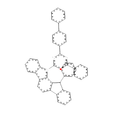 c1ccc(-c2ccc(-c3nc(-c4ccccc4)nc(-n4c5ccccc5c5ccc6c(c54)C(c4ccccc4)c4ccccc4-6)n3)cc2)cc1